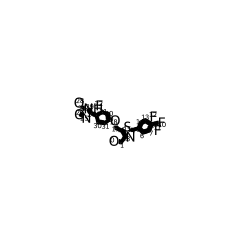 O=Cc1nc(-c2ccc(C(F)(F)F)cc2)sc1COC1=CC(F)C(c2noc(=O)[nH]2)C=C1